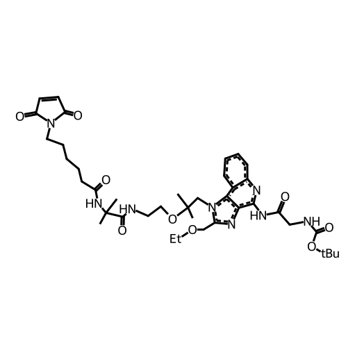 CCOCc1nc2c(NC(=O)CNC(=O)OC(C)(C)C)nc3ccccc3c2n1CC(C)(C)OCCNC(=O)C(C)(C)NC(=O)CCCCCN1C(=O)C=CC1=O